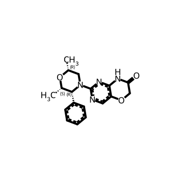 C[C@@H]1CN(c2ncc3c(n2)NC(=O)CO3)[C@H](c2ccccc2)[C@H](C)O1